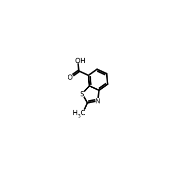 Cc1nc2cccc(C(=O)O)c2s1